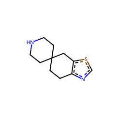 c1nc2c(s1)CC1(CCNCC1)CC2